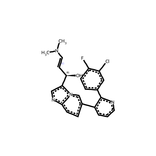 CN(C)/C=C/[C@@H](O)c1cnc2ccc(-c3cccnc3-c3ccc(F)c(Cl)c3)cn12